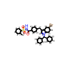 Cc1ccccc1S(=O)(=O)NC(=O)c1ccc(Cc2cn(C(c3ccccc3)c3ccccc3)c3ccc(Br)cc23)cc1